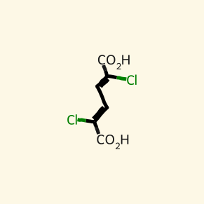 O=C(O)C(Cl)=CC=C(Cl)C(=O)O